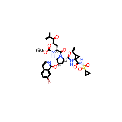 C=CC1C[C@]1(NC(=O)[C@@H]1C[C@@H](Oc2nccc3ccc(Br)cc23)CN1C(=O)[C@H](CCC(=O)C(=C)C)NC(=O)OC(C)(C)C)C(=O)NS(=O)(=O)C1CC1